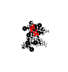 CC(C)(C)OC(=O)NCCCC[C@@H](CN(CCNC(=O)c1ccc(C(=O)N2CCSC2S)c(OCc2ccccc2)c1OCc1ccccc1)C[C@H](CCCO)NC(=O)c1ccc(C(=O)N2CCSC2S)c(OCc2ccccc2)c1OCc1ccccc1)NC(=O)c1ccc(C(=O)N2CCSC2S)c(OCc2ccccc2)c1OCc1ccccc1